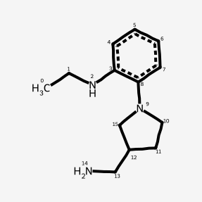 CCNc1ccccc1N1CCC(CN)C1